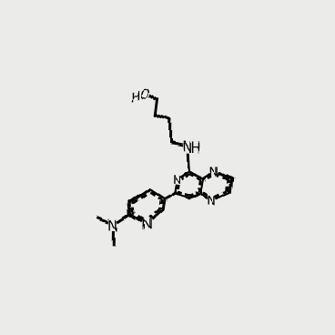 CN(C)c1ccc(-c2cc3nccnc3c(NCCCCO)n2)cn1